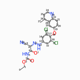 CCOC(=O)NC(=O)C(C#N)=NNc1cc(Cl)c(Oc2ccc3nccc(C)c3c2)c(Cl)c1